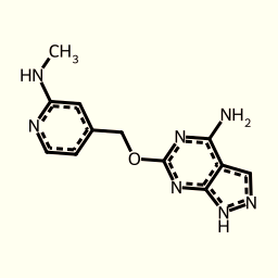 CNc1cc(COc2nc(N)c3cn[nH]c3n2)ccn1